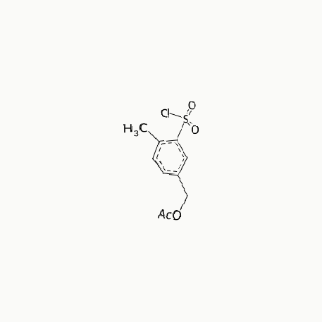 CC(=O)OCc1ccc(C)c(S(=O)(=O)Cl)c1